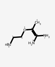 CCCCCCOC(C)=C(N)N